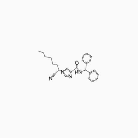 CCCCCCC(C#N)n1cnc(C(=O)NC(c2ccccc2)c2ccccc2)c1